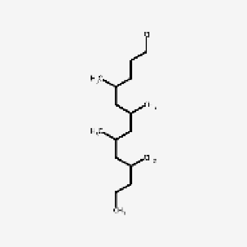 CCCC(C)CC(C)CC(C)CC(C)CCCCl